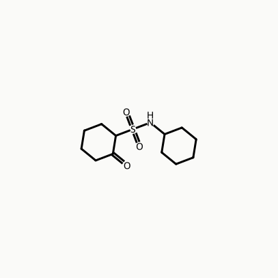 O=C1CCCCC1S(=O)(=O)NC1CCCCC1